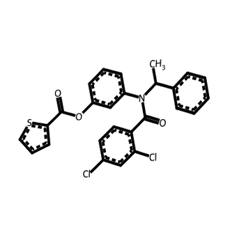 CC(c1ccccc1)N(C(=O)c1ccc(Cl)cc1Cl)c1cccc(OC(=O)c2cccs2)c1